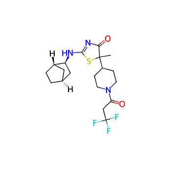 CC1(C2CCN(C(=O)CC(F)(F)F)CC2)SC(N[C@H]2C[C@H]3CC[C@H]2C3)=NC1=O